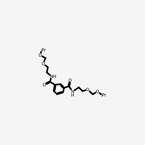 CC(C)OCOCCNC(=O)c1cccc(C(=O)NCCOCOC(C)C)c1